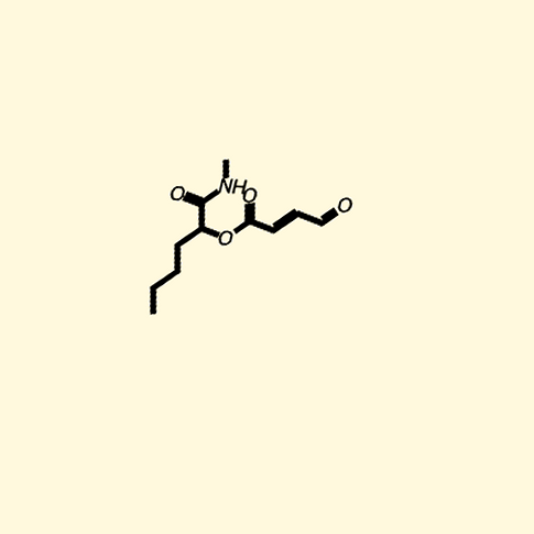 CCCCC(OC(=O)C=CC=O)C(=O)NC